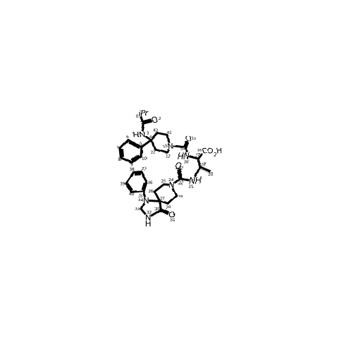 CC(C)C(=O)NC1(c2ccccc2)CCN(C(=O)NC(C(=O)O)C(C)NC(=O)N2CCC3(CC2)C(=O)NCN3c2ccccc2)CC1